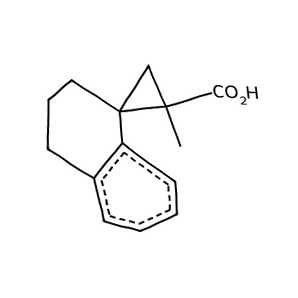 CC1(C(=O)O)CC12CCCc1ccccc12